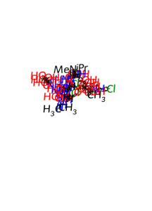 CCC1(NCc2ccc(-c3ccc(Cl)cc3)cc2)C[C@H](O[C@@H]2C(O)C(O)[C@@H](CO)O[C@H]2Oc2c3cc4cc2Oc2ccc(cc2Cl)[C@@H](O)[C@@H](NC(=O)[C@@H](CC(C)C)NC)C(=O)NC(CC(N)=O)C(=O)N[C@H]4C(=O)N[C@@H]2C(=O)N[C@H](C(=O)NC(C(=O)NCCCN(C)C)c4cc(O)c(CNCCCNC(=O)[C@H](O)[C@@H](O)[C@H](O)[C@H](O)CO)c(O)c4-c4cc2ccc4O)[C@H](O)c2ccc(c(Cl)c2)O3)O[C@@H](C)[C@@H]1O